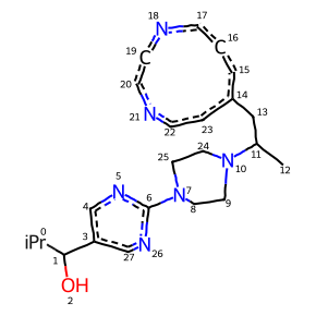 CC(C)C(O)c1cnc(N2CCN(C(C)Cc3cccnccncc3)CC2)nc1